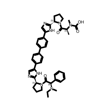 CCN(C)[C@@H](C(=O)N1CCC[C@H]1c1ncc(-c2ccc(-c3ccc(-c4cnc([C@@H]5CCCN5C(=O)[C@H](C)N(C)C(=O)O)[nH]4)cc3)cc2)[nH]1)c1ccccc1